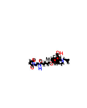 CO[C@@]12C[C@]34CCN(CC5CC5)[C@H](Cc5ccc(OCCCCC(=O)NCCN6C(=O)C=CC6=O)c(c53)O[C@@H]1C)[C@@]42CCCO